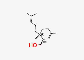 CC(C)=CCC[C@]1(C)CCC(C)=C[C@H]1CO